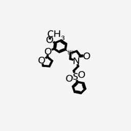 COc1ccc([C@@H]2CC(=O)N(CCS(=O)(=O)c3ccccc3)C2)cc1OC1CCCO1